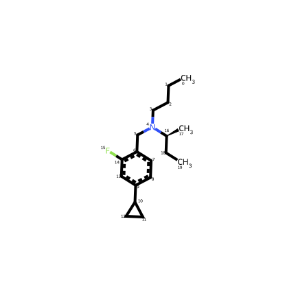 CCCCN(Cc1ccc(C2CC2)cc1F)[C@@H](C)CC